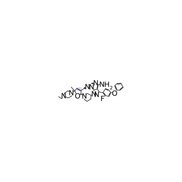 CCN1CCN(C(C)(C)/C=C(/C#N)C(=O)N2CCCC(n3nc(-c4ccc(Oc5ccccc5)cc4F)c4c(N)ncnc43)C2)CC1